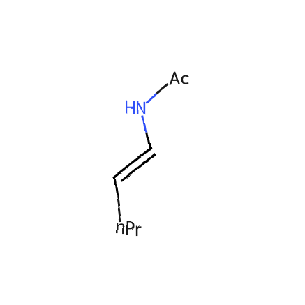 CCC/C=C/NC(C)=O